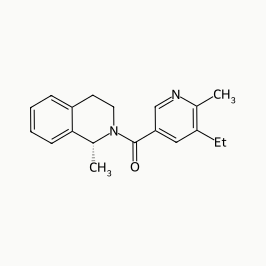 CCc1cc(C(=O)N2CCc3ccccc3[C@H]2C)cnc1C